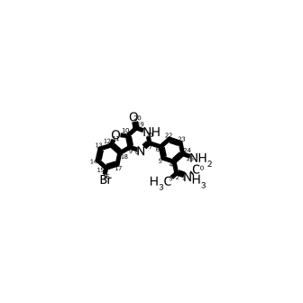 C/N=C(/C)c1cc(-c2nc3c(oc4ccc(Br)cc43)c(=O)[nH]2)ccc1N